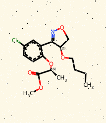 CCCCO[C@@H]1CON=C1c1cc(Cl)ccc1O[C@@H](C)C(=O)OC